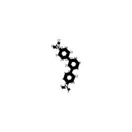 CN(C)c1ccc(-c2cccc(-c3ccc(N(C)C)cc3)c2)cc1